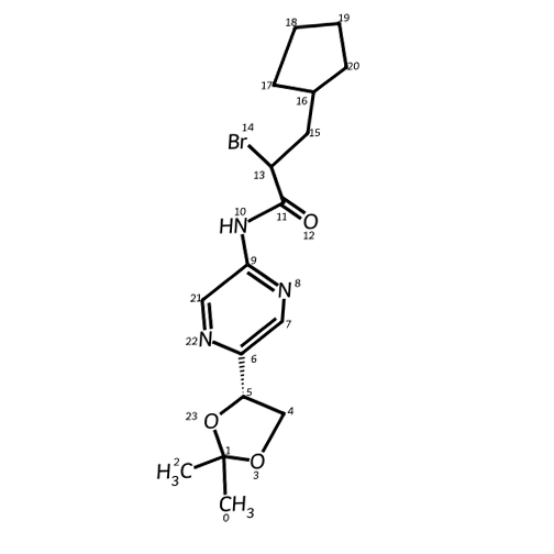 CC1(C)OC[C@@H](c2cnc(NC(=O)C(Br)CC3CCCC3)cn2)O1